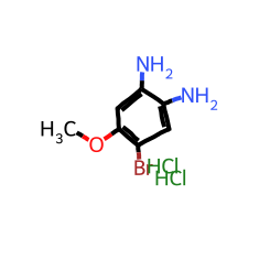 COc1cc(N)c(N)cc1Br.Cl.Cl